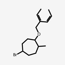 C/C=C\C(=C/C)COC1CCC(Br)CCC1C